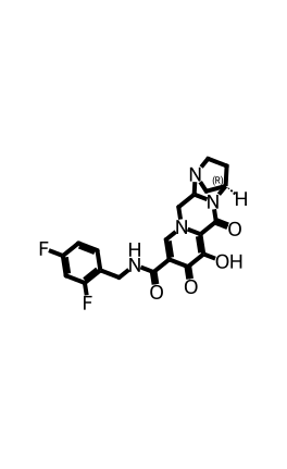 O=C(NCc1ccc(F)cc1F)c1cn2c(c(O)c1=O)C(=O)N1C(C2)N2CC[C@@H]1C2